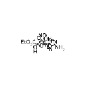 CCOC(=O)C(O)[C@H]1O[C@@H](n2cnc3c(N)ncnc32)[C@H](O)[C@@H]1O[N+](=O)[O-]